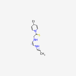 C/C=C/N/C=C\NCC(=S)N1C=CC(CC)C=C1